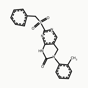 Cc1ccccc1N1Cc2cnc(S(=O)(=O)Cc3ccccc3)nc2NC1=O